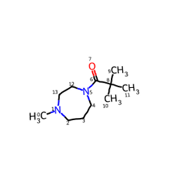 CN1CCCN(C(=O)C(C)(C)C)CC1